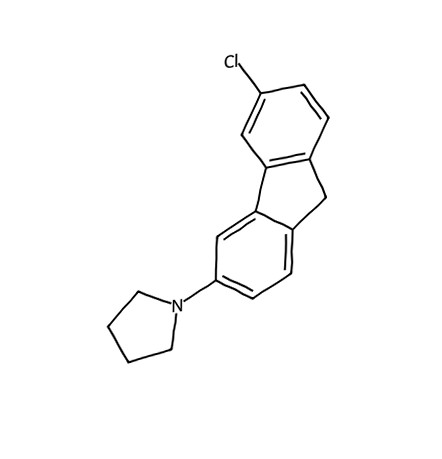 Clc1ccc2c(c1)-c1cc(N3CCCC3)ccc1C2